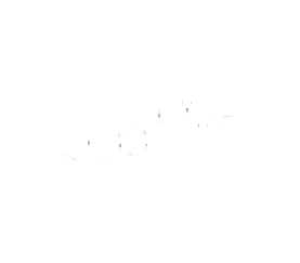 COC(=O)CC(=O)c1ccc(OC2=CCCC=C2)cc1